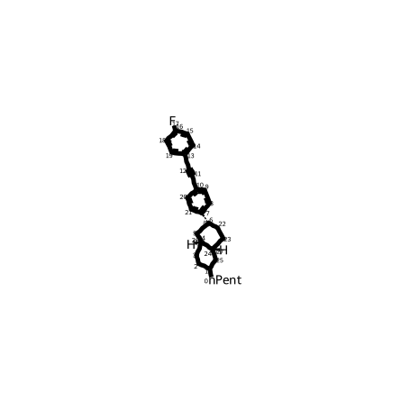 CCCCCC1CC[C@@H]2C[C@H](c3ccc(C#Cc4ccc(F)cc4)cc3)CC[C@@H]2C1